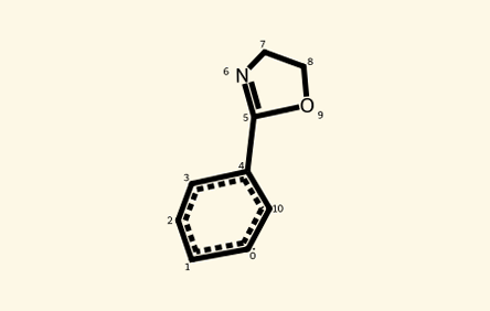 [c]1cccc(C2=NCCO2)c1